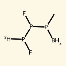 [3H]P(F)P(F)P(B)C